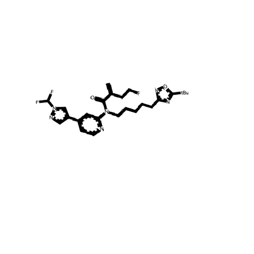 C=C(CCF)C(=O)N(CCCCCc1noc(C(C)(C)C)n1)c1cc(-c2cnn(C(F)F)c2)ccn1